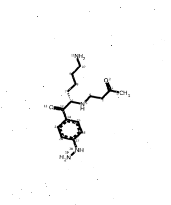 CC(=O)CCN[C@@H](CCCCN)C(=O)c1ccc(NN)cc1